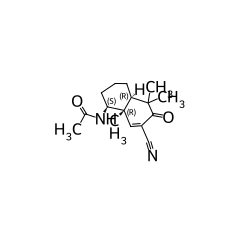 CC(=O)N[C@H]1CCC[C@H]2C(C)(C)C(=O)C(C#N)=C[C@]12C